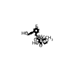 CC1(C)OCCn2c1nc(C(=O)NCc1ccc(F)cc1C#CCO)c(O)c2=O